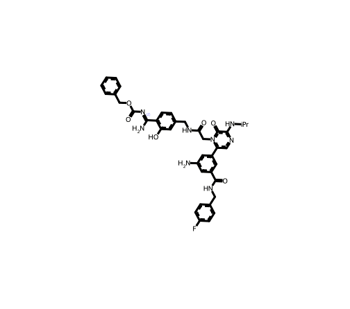 CC(C)Nc1ncc(-c2cc(N)cc(C(=O)NCc3ccc(F)cc3)c2)n(CC(=O)NCc2ccc(/C(N)=N/C(=O)OCc3ccccc3)c(O)c2)c1=O